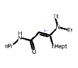 CCCCCCC/C(=C\C(=O)NCCC)N(CC)CC